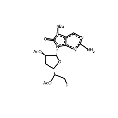 CCCCn1c(=O)n([C@@H]2O[C@H](C(CF)OC(C)=O)C[C@H]2OC(C)=O)c2nc(N)ncc21